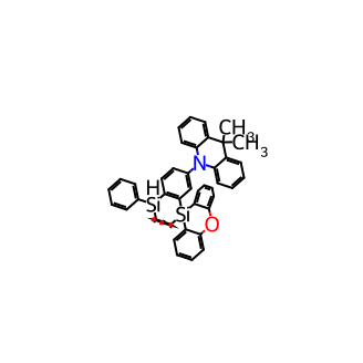 CC1(C)c2ccccc2N(c2ccc3c(c2)[Si]2(c4ccccc4Oc4ccccc42)c2ccccc2[SiH]3c2ccccc2)c2ccccc21